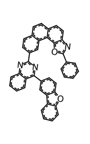 c1ccc(-c2nc3ccc4ccc5ccc(-c6nc(-c7ccc8oc9ccccc9c8c7)c7ccccc7n6)cc5c4c3o2)cc1